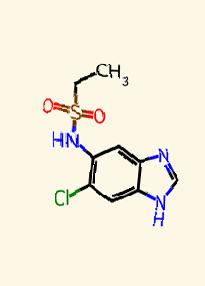 CCS(=O)(=O)Nc1cc2nc[nH]c2cc1Cl